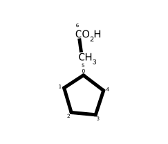 C1CCCC1.CC(=O)O